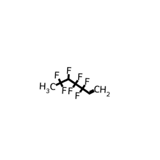 C=CC(F)(F)C(F)(F)C(F)C(C)(F)F